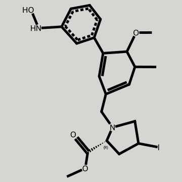 COC(=O)[C@H]1CC(I)CN1CC1=CC(C)C(OC)C(c2cccc(NO)c2)=C1